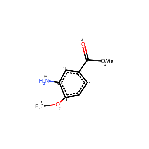 COC(=O)c1ccc(OC(F)(F)F)c(N)c1